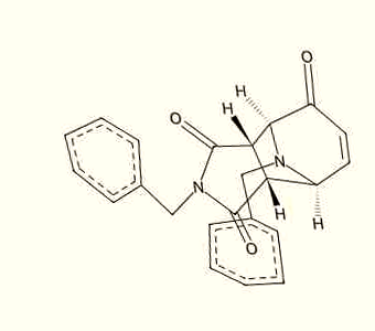 O=C1C=C[C@H]2[C@@H]3C(=O)N(Cc4ccccc4)C(=O)[C@@H]3[C@@H]1N2Cc1ccccc1